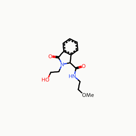 COCCNC(=O)C1c2ccccc2C(=O)N1CCO